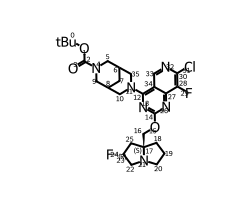 CC(C)(C)OC(=O)N1CC2CC(C1)CN(c1nc(OC[C@@]34CCCN3C[C@H](F)C4)nc3c(F)c(Cl)ncc13)C2